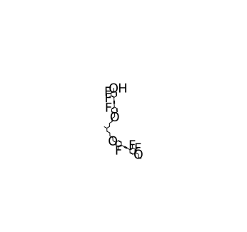 CCOc1ccc(C#Cc2ccc(OCCCCC(C)CCCCOc3ccc(C#Cc4ccc(O)c(F)c4F)c(F)c3)cc2F)c(F)c1F